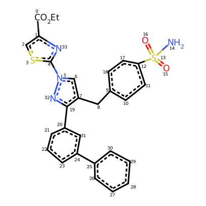 CCOC(=O)c1csc(-n2cc(Cc3ccc(S(N)(=O)=O)cc3)c(-c3cccc(-c4ccccc4)c3)n2)n1